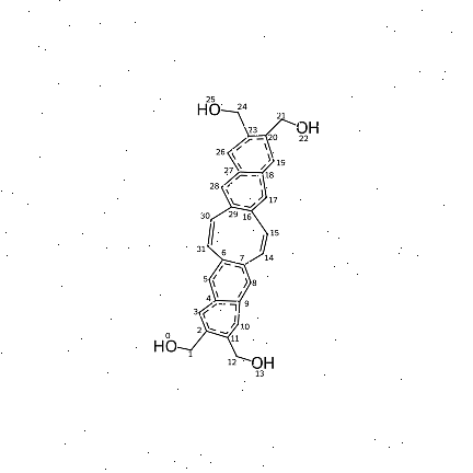 OCc1cc2cc3c(cc2cc1CO)/C=C\c1cc2cc(CO)c(CO)cc2cc1/C=C\3